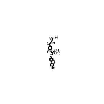 CC(C)(C)[C@@H](COc1ccc(-c2ccc(C(F)(F)F)cc2F)c(F)c1)Nc1ccc(C(=O)NCCC(=O)O)cc1